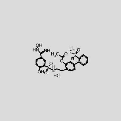 CC(=O)Oc1cc(-c2ccccc2S(C)(=O)=O)ccc1CCNS(=O)(=O)c1cc(C(=N)NO)ccc1O.Cl